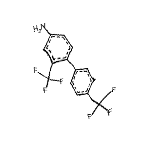 Nc1ccc(-c2ccc(C(F)(F)F)cc2)c(C(F)(F)F)c1